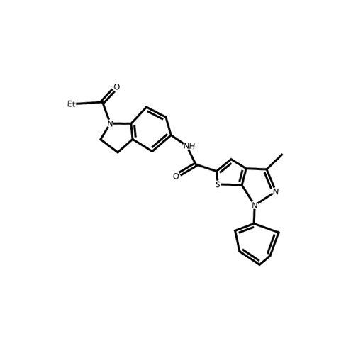 CCC(=O)N1CCc2cc(NC(=O)c3cc4c(C)nn(-c5ccccc5)c4s3)ccc21